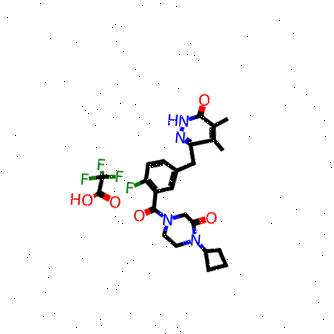 Cc1c(Cc2ccc(F)c(C(=O)N3CCN(C4CCC4)C(=O)C3)c2)n[nH]c(=O)c1C.O=C(O)C(F)(F)F